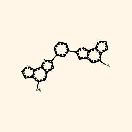 Cc1cc2cc(-c3cccc(-c4cc5cc(C)c6ccsc6c5s4)c3)sc2c2sccc12